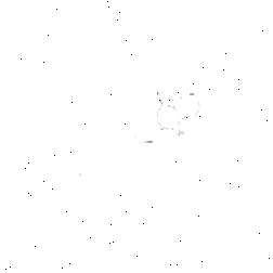 CCCCCC=Cc1nc2ccccc2c(=O)o1